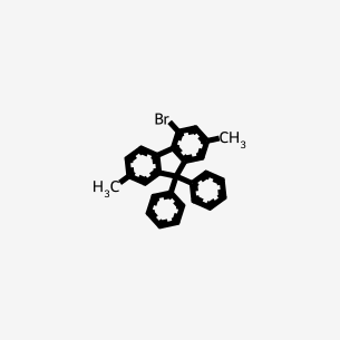 Cc1ccc2c(c1)C(c1ccccc1)(c1ccccc1)c1cc(C)cc(Br)c1-2